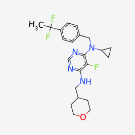 CC(F)(F)c1ccc(CN(c2ncnc(NCC3CCOCC3)c2F)C2CC2)cc1